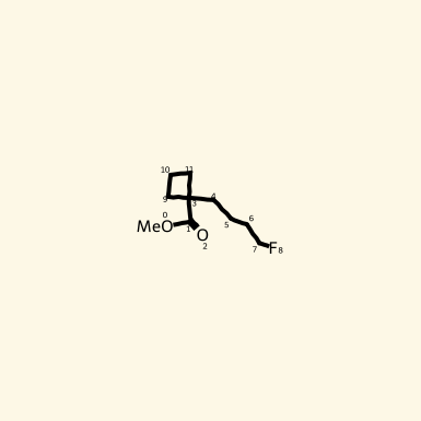 COC(=O)C1(CCCCF)CCC1